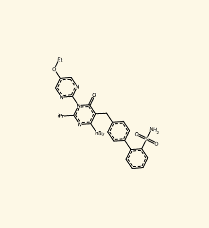 CCCCc1nc(C(C)C)n(-c2ncc(OCC)cn2)c(=O)c1Cc1ccc(-c2ccccc2S(N)(=O)=O)cc1